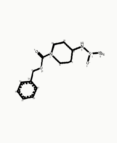 CC(C)(C)[S+]([O-])NC1CCN(C(=O)OCc2ccccc2)CC1